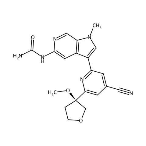 CO[C@]1(c2cc(C#N)cc(-c3cn(C)c4cnc(NC(N)=O)cc34)n2)CCOC1